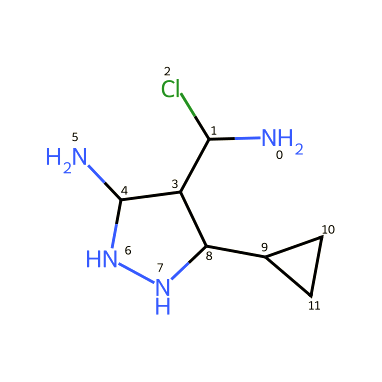 NC(Cl)C1C(N)NNC1C1CC1